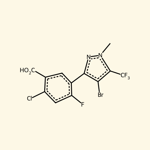 Cn1nc(-c2cc(C(=O)O)c(Cl)cc2F)c(Br)c1C(F)(F)F